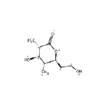 C[C@@H]1[C@@H](O)[C@H](C)C(=O)O[C@H]1CCO